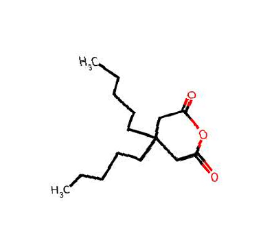 CCCCCC1(CCCCC)CC(=O)OC(=O)C1